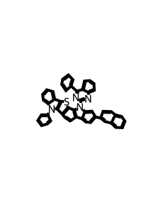 c1ccc(-c2nc(-n3c4cc(-c5ccc6ccccc6c5)ccc4c4ccc5c(sc6c7ccccc7n(-c7ccccc7)c56)c43)nc3ccccc23)cc1